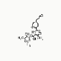 CSC(O[C@@H](O)C(NC(=O)C1CC[C@H](CCC=O)CCN1)C(C)Cl)C(O)[C@@H](C)O